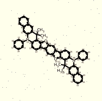 CC1(C)c2cc3ccccc3cc2N(c2ccccc2)c2ccc3c(oc4cc5c(cc43)oc3c4c(ccc35)N(c3ccccc3)c3cc5ccccc5cc3C4(C)C)c21